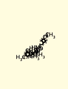 CCOc1ccc(CCC(=O)Nc2nc(C)c(C(=O)Nc3c(C)cc(C)cc3C)s2)cc1